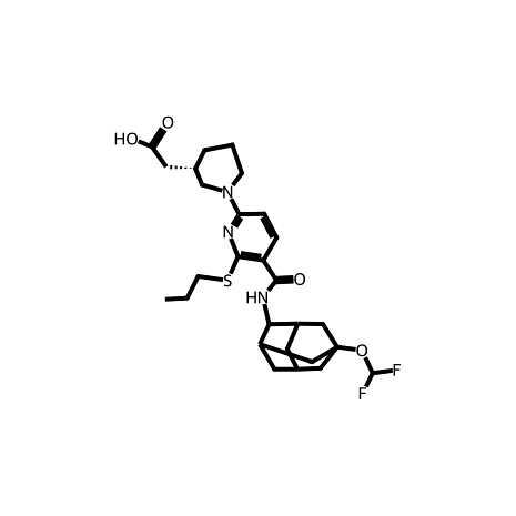 CCCSc1nc(N2CCC[C@@H](CC(=O)O)C2)ccc1C(=O)NC1C2CC3CC1CC(OC(F)F)(C3)C2